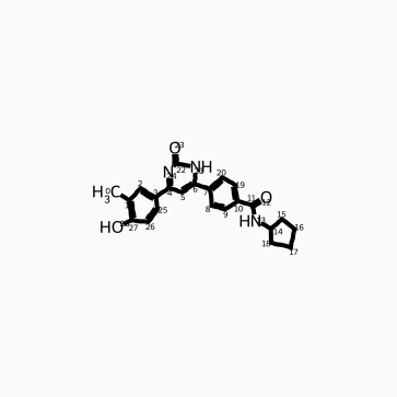 Cc1cc(-c2cc(-c3ccc(C(=O)NC4CCCC4)cc3)[nH]c(=O)n2)ccc1O